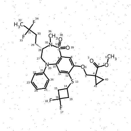 COC(=O)C1(COc2cc3c(cc2SC2CC(F)(F)C2)N(c2ccccc2)C[C@H](CCC(C)(F)F)N(C)S3(=O)=O)CC1